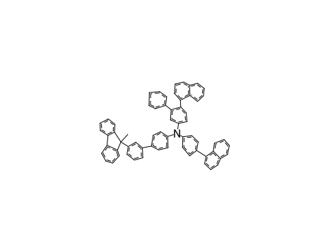 CC1(c2cccc(-c3ccc(N(c4ccc(-c5cccc6ccccc56)cc4)c4ccc(-c5cccc6ccccc56)c(-c5ccccc5)c4)cc3)c2)c2ccccc2-c2ccccc21